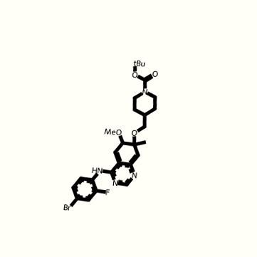 COC1C=c2c(Nc3ccc(Br)cc3F)ncnc2=CC1(C)OCC1CCN(C(=O)OC(C)(C)C)CC1